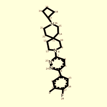 Cc1cc(-c2ccc(N3CCC4(CC3)CCN(C3CCC3)CC4)nn2)ccc1F